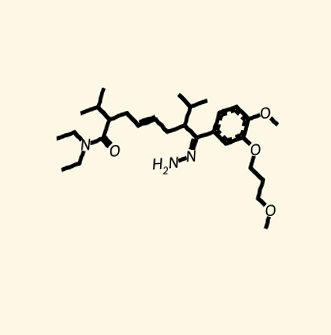 CCN(CC)C(=O)C(C/C=C/CC(C(=NN)c1ccc(OC)c(OCCCOC)c1)C(C)C)C(C)C